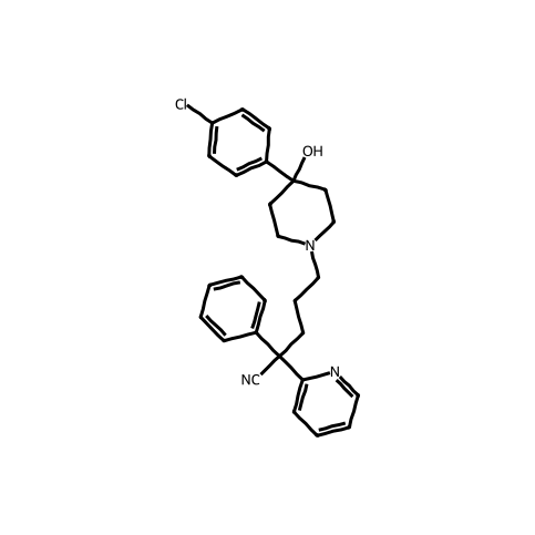 N#CC(CCCN1CCC(O)(c2ccc(Cl)cc2)CC1)(c1ccccc1)c1ccccn1